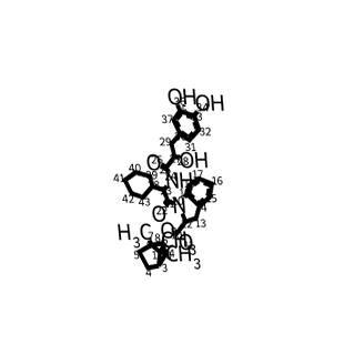 CC1(C)C2CCC1(C)[C@@H](OC(=O)C1Cc3ccccc3N1C(=O)C(NC(=O)C(O)Cc1ccc(O)c(O)c1)C1CCCCC1)C2